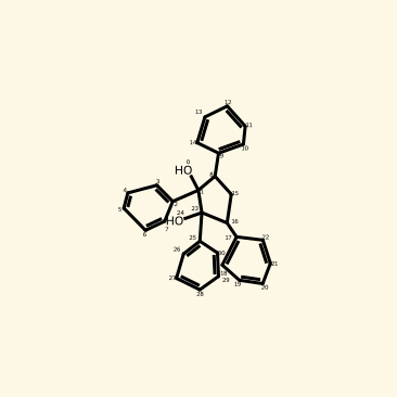 OC1(c2ccccc2)C(c2ccccc2)CC(c2ccccc2)C1(O)c1ccccc1